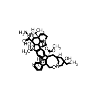 CC[C@]1(O)C[C@@H]2CN(CCc3c([nH]c4ccccc34)[C@@](C(=O)OC)(c3cc4c(cc3OC)N(C)[C@H]3[C@@](O)(C(=O)NN)[C@H](O)[C@]5(CC)C=CCN6CC[C@]43[C@@H]65)C2)C1